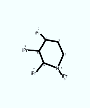 CC(C)C1CCN(C(C)C)C(C(C)C)C1C(C)C